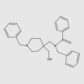 O=C(c1ccccc1)N(Cc1ccccc1)CC1(CO)CCN(Cc2ccccc2)CC1